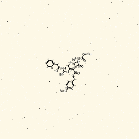 CCC(NC(=O)Cc1ccccc1)OC1=C(C(=O)OCc2ccc(OC)cc2)N2C(=O)[C@H](NC(=O)OC(C)(C)C)[C@@H]2SC1